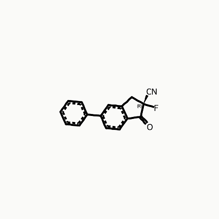 N#C[C@]1(F)Cc2cc(-c3ccccc3)ccc2C1=O